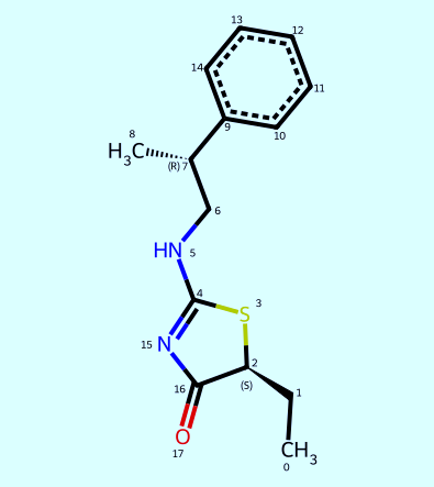 CC[C@@H]1SC(NC[C@H](C)c2ccccc2)=NC1=O